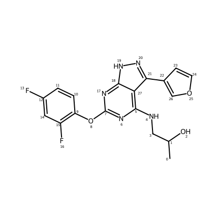 CC(O)CNc1nc(Oc2ccc(F)cc2F)nc2[nH]nc(-c3ccoc3)c12